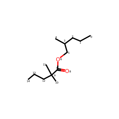 CCCC(C)COC(=O)C(C)(C)CCC